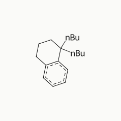 CCCCC1(CCCC)CCCc2ccccc21